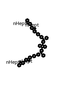 CCCCCCCC1(CCCCCCC)c2ccccc2-c2ccc(-c3ccc4c(c3)C(C)(C)c3cc(-c5ccc(-c6ccc(N(c7ccccc7)c7ccc(-c8c9ccccc9c(-c9ccc(N(c%10ccccc%10)c%10ccc(-c%11ccc(-c%12ccc%13c(c%12)C(C)(C)c%12cc(-c%14ccc%15c(c%14)C(CCCCCCC)(CCCCCCC)c%14ccccc%14-%15)ccc%12-%13)cc%11)cc%10)cc9)c9ccccc89)cc7)cc6)cc5)ccc3-4)cc21